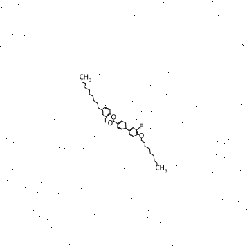 CCCCCCCCCCc1ccc(OC(=O)c2ccc(-c3ccc(OCCCCCCCCC)c(F)c3)cc2)c(F)c1